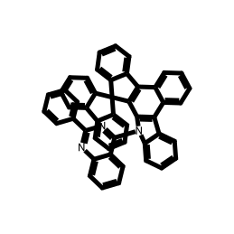 c1ccc(-c2nc(-n3c4ccccc4c4c5ccccc5c5c(c43)C3(c4ccccc4-c4ccccc43)c3ccccc3-5)c3ccccc3n2)cc1